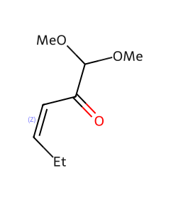 CC/C=C\C(=O)C(OC)OC